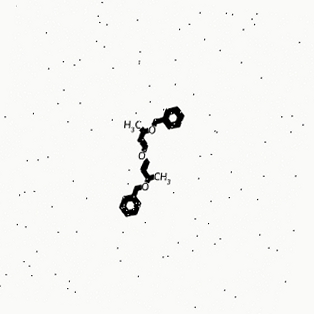 CC(C=COC=CC(C)OCc1ccccc1)OCc1ccccc1